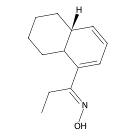 CC/C(=N\O)C1=CC=C[C@H]2CCCCC12